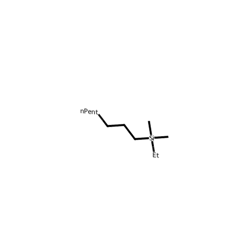 [CH2]C[Si](C)(C)CCCCCCCC